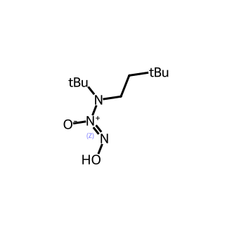 CC(C)(C)CCN(/[N+]([O-])=N/O)C(C)(C)C